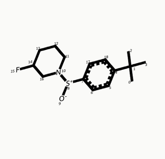 CC(C)(C)c1ccc([S+]([O-])N2CCCC(F)C2)cc1